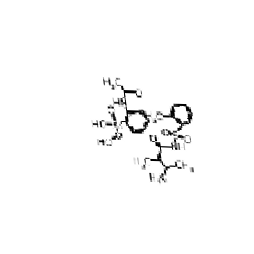 CC(=O)Nc1ccccc1[As](=O)(O)OO.Cc1ccccc1S(=O)(=O)NC(=O)C(C)C(C)C